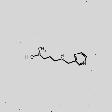 CN(C)CCCNCc1cccnc1